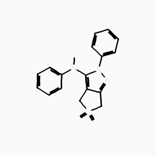 O=C(O)N(c1ccccc1)c1c2c(nn1-c1ccccc1)CS(=O)(=O)C2